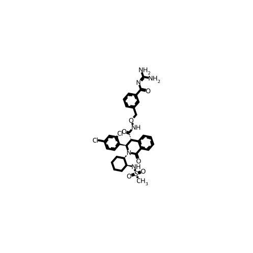 CS(=O)(=O)N[C@H]1CCCC[C@@H]1N1C(=O)c2ccccc2[C@@H](C(=O)NOCc2cccc(C(=O)N=C(N)N)c2)[C@@H]1c1ccc(Cl)cc1Cl